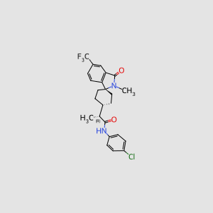 C[C@@H](C(=O)Nc1ccc(Cl)cc1)[C@H]1CC[C@@]2(CC1)c1ccc(C(F)(F)F)cc1C(=O)N2C